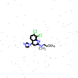 COCCN(C)c1cc(-n2ccnc2)c2ccc(Cl)c(Cl)c2n1